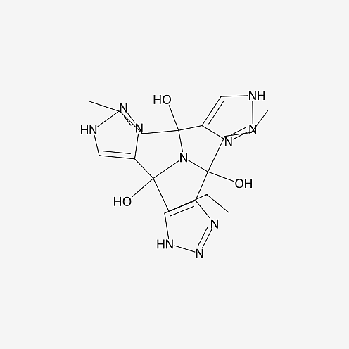 CCCC(O)(c1c[nH]nn1)N(C(O)(CCC)c1c[nH]nn1)C(O)(CCC)c1c[nH]nn1